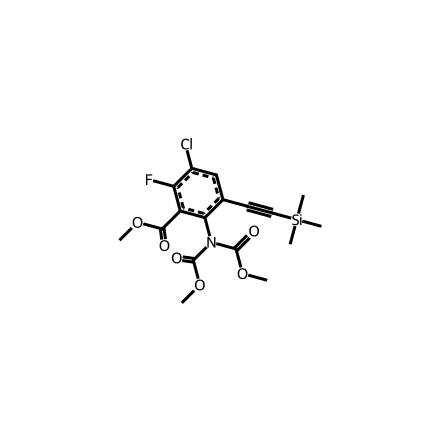 COC(=O)c1c(F)c(Cl)cc(C#C[Si](C)(C)C)c1N(C(=O)OC)C(=O)OC